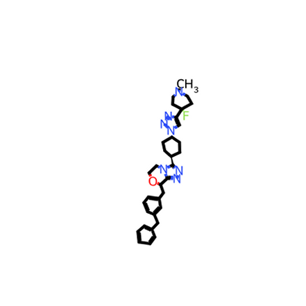 CN1CCC(F)(c2cn([C@H]3CC[C@H](c4nnc5n4CCOC5Cc4cccc(Cc5ccccc5)c4)CC3)nn2)CC1